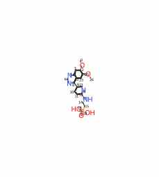 COc1cc2ncnc(-c3ccc(NCCP(=O)(O)O)nc3)c2cc1OC